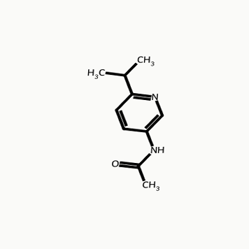 CC(=O)Nc1ccc(C(C)C)nc1